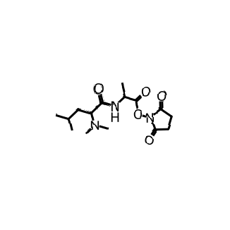 CC(C)CC(C(=O)NC(C)C(=O)ON1C(=O)CCC1=O)N(C)C